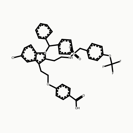 O=C(O)c1ccc(OCCc2c(CCNS(=O)(=O)Cc3ccc(OC(F)(F)F)cc3)n(C(c3ccccc3)c3ccccc3)c3ccc(Cl)cc23)cc1